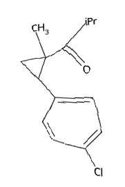 CC(C)C(=O)C1(C)CC1c1ccc(Cl)cc1